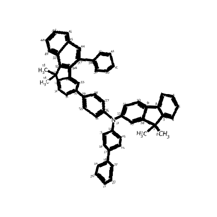 CC1(C)c2ccccc2-c2ccc(N(c3ccc(-c4ccccc4)cc3)c3ccc(-c4ccc5c(c4)-c4c(-c6ccccc6)cc6ccccc6c4C5(C)C)cc3)cc21